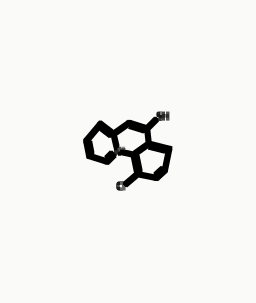 Sc1cc2cccc[n+]2c2c(Cl)cccc12